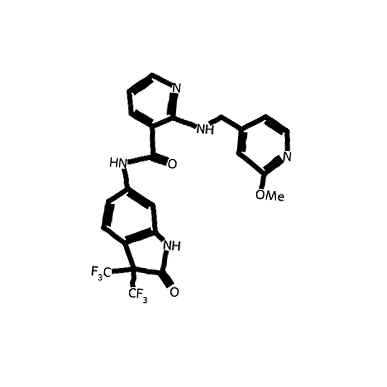 COc1cc(CNc2ncccc2C(=O)Nc2ccc3c(c2)NC(=O)C3(C(F)(F)F)C(F)(F)F)ccn1